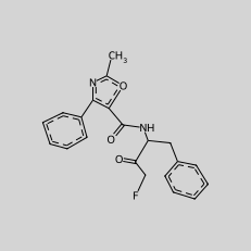 Cc1nc(-c2ccccc2)c(C(=O)NC(Cc2ccccc2)C(=O)CF)o1